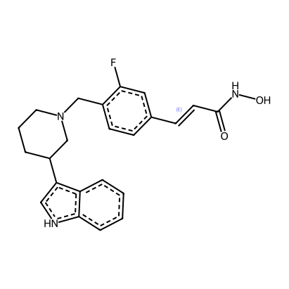 O=C(/C=C/c1ccc(CN2CCCC(c3c[nH]c4ccccc34)C2)c(F)c1)NO